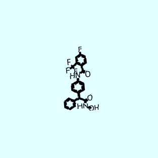 O=C(Nc1ccc(C(C(=O)NO)c2ccccc2)cc1)c1ccc(F)cc1C(F)(F)F